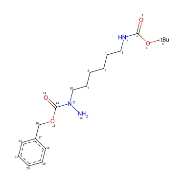 CC(C)(C)OC(=O)NCCCCCCN(N)C(=O)OCc1ccccc1